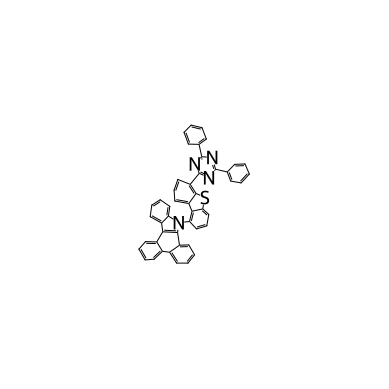 c1ccc(-c2nc(-c3ccccc3)nc(-c3cccc4c3sc3cccc(-n5c6ccccc6c6c7ccccc7c7ccccc7c65)c34)n2)cc1